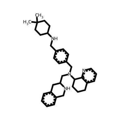 CC1(C)CCC(NCc2ccc(CN(CC3Cc4ccccc4CN3)C3CCCc4cccnc43)cc2)CC1